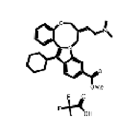 COC(=O)c1ccc2c(C3CCCCC3)c3n(c2c1)C/C(=C\CN(C)C)COc1ccccc1-3.O=C(O)C(F)(F)F